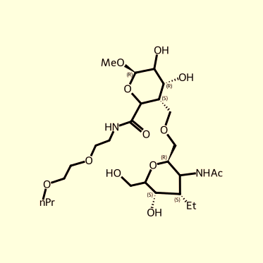 CCCOCCOCCNC(=O)C1O[C@@H](OC)C(O)[C@H](O)[C@@H]1COC[C@@H]1OC(CO)[C@@H](O)[C@@H](CC)C1NC(C)=O